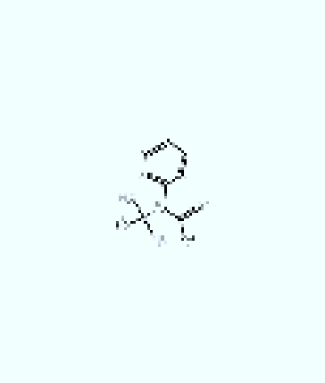 CC(C)(O)[C@@H](C(=O)O)c1ccccc1